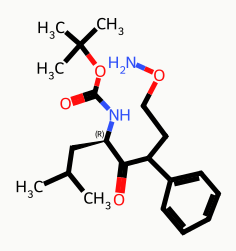 CC(C)C[C@@H](NC(=O)OC(C)(C)C)C(=O)C(CCON)c1ccccc1